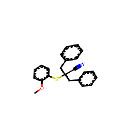 COc1ccccc1SC(C#N)(Cc1ccccc1)Cc1ccccc1